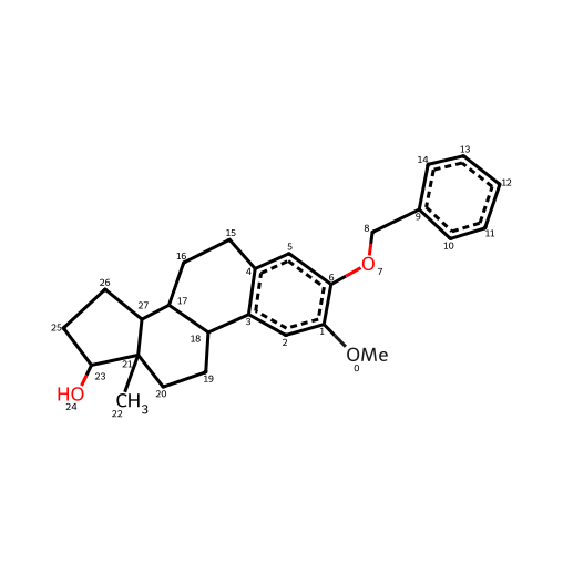 COc1cc2c(cc1OCc1ccccc1)CCC1C2CCC2(C)C(O)CCC12